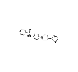 O=C(Nc1ccc(N2CCN(c3ccccn3)CC2)cc1)c1ccccc1